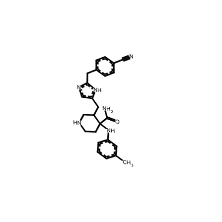 Cc1cccc(NC2(C(N)=O)CCNCC2Cc2cnc(Cc3ccc(C#N)cc3)[nH]2)c1